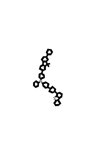 CC1(C)c2cc(-c3ccccc3)ccc2-c2ccc(-c3ccc(N(c4ccccc4)c4ccc(-c5ccc(-c6cccc7c6sc6ccccc67)cc5)cc4)cc3)cc21